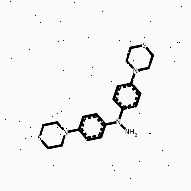 NN(c1ccc(N2CCSCC2)cc1)c1ccc(N2CCSCC2)cc1